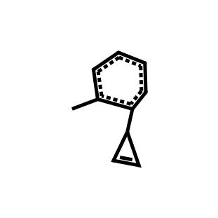 Cc1ccccc1C1C=C1